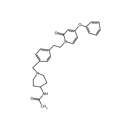 CC(=O)NC1CCN(Cc2ccc(CCn3ccc(Oc4ccccc4)cc3=O)cc2)CC1